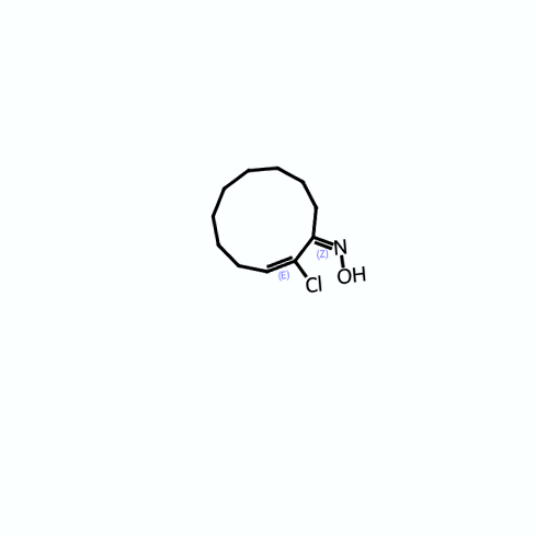 O/N=C1CCCCCCCC\C=C/1Cl